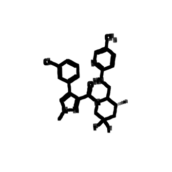 C[C@@H]1CC(F)(F)CN(C(=O)c2nn(C)cc2-c2cccc(Cl)c2)C1CNc1ccc(C(F)(F)F)cn1